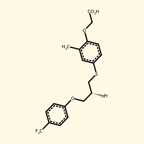 CCC[C@H](COc1ccc(C(F)(F)F)cc1)CSc1ccc(OCC(=O)O)c(C)c1